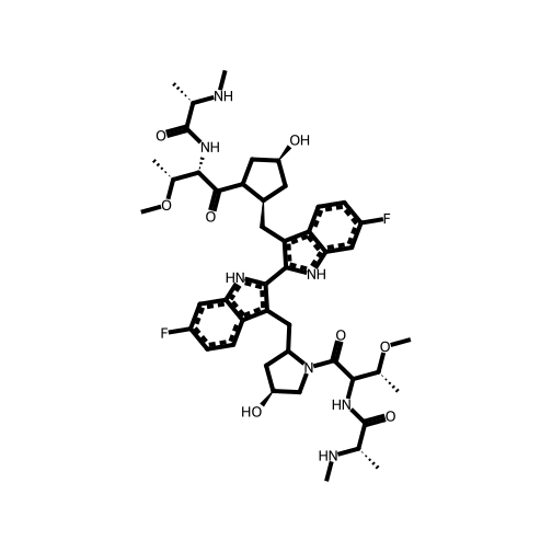 CN[C@@H](C)C(=O)NC(C(=O)N1C[C@@H](O)CC1Cc1c(-c2[nH]c3cc(F)ccc3c2C[C@@H]2C[C@H](O)CC2C(=O)[C@@H](NC(=O)[C@H](C)NC)[C@@H](C)OC)[nH]c2cc(F)ccc12)[C@@H](C)OC